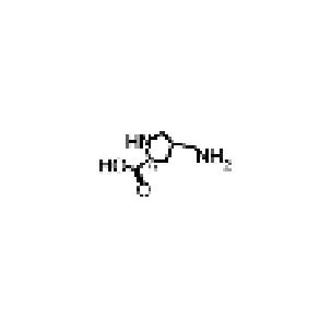 NCC1CN[C@H](C(=O)O)C1